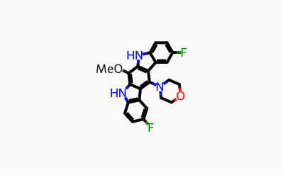 COc1c2[nH]c3ccc(F)cc3c2c(N2CCOCC2)c2c1[nH]c1ccc(F)cc12